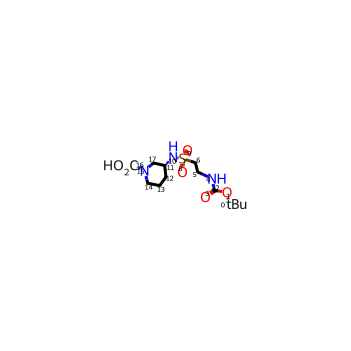 CC(C)(C)OC(=O)NCCS(=O)(=O)N[C@H]1CCCN(C(=O)O)C1